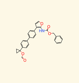 O=COC1(c2ccc(-c3ccc(-c4ccoc4NC(=O)OCc4ccccc4)cc3)cc2)CC1